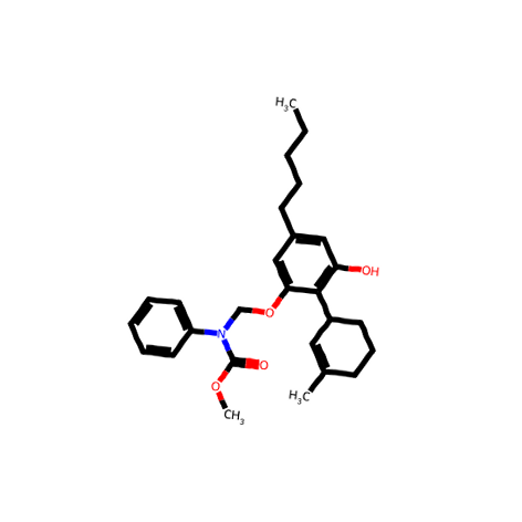 CCCCCc1cc(O)c(C2C=C(C)CCC2)c(OCN(C(=O)OC)c2ccccc2)c1